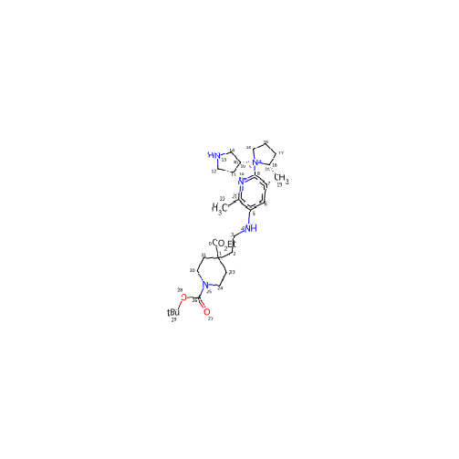 CCOC(=O)C1(CCNc2ccc([N+]3([C@@H]4CCNC4)CCC[C@@H]3C)nc2C)CCN(C(=O)OC(C)(C)C)CC1